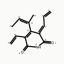 C=C/C=C1/C(=O)NC(=O)C(C=C)=C1/C(C)=C\C